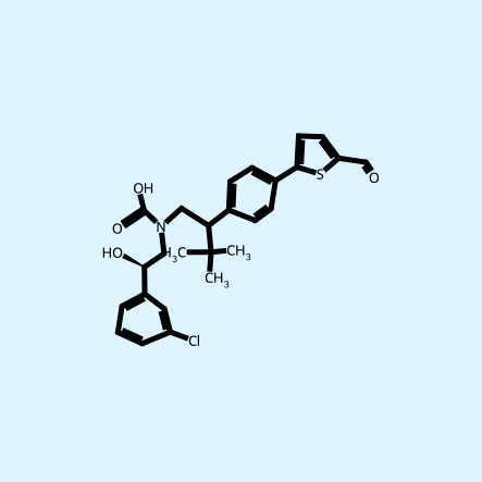 CC(C)(C)C(CN(C[C@H](O)c1cccc(Cl)c1)C(=O)O)c1ccc(-c2ccc(C=O)s2)cc1